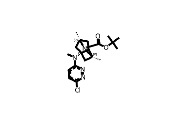 CN(c1ccc(Cl)nn1)[C@]12C[C@@]3(C)CC1[C@@](C)(C2)N3C(=O)OC(C)(C)C